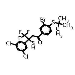 CC(C)(C)Sc1ccc(C(=O)CC(S)(c2cc(Cl)cc(Cl)c2)C(F)(F)F)cc1Br